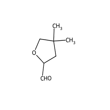 CC1(C)COC(C=O)C1